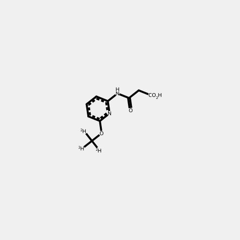 [2H]C([2H])([2H])Oc1cccc(NC(=O)CC(=O)O)n1